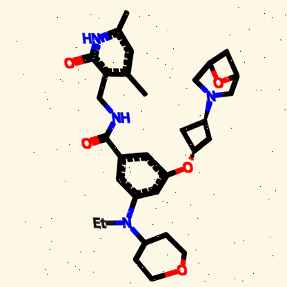 CCN(c1cc(O[C@H]2C[C@H](N3CC4CC(C3)O4)C2)cc(C(=O)NCc2c(C)cc(C)[nH]c2=O)c1)C1CCOCC1